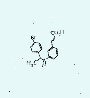 CC(Nc1cccc(/C=C/C(=O)O)c1)c1ccc(Br)cc1